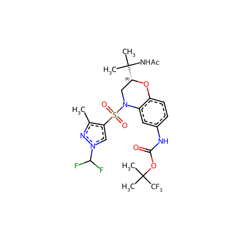 CC(=O)NC(C)(C)[C@H]1CN(S(=O)(=O)c2cn(C(F)F)nc2C)c2cc(NC(=O)OC(C)(C)C(F)(F)F)ccc2O1